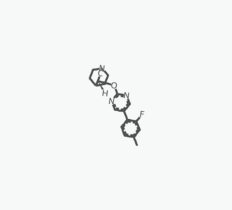 Cc1ccc(-c2cnc(O[C@H]3CN4CCC3CC4)nc2)c(F)c1